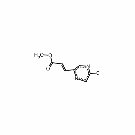 COC(=O)C=Cc1cnc(Cl)cn1